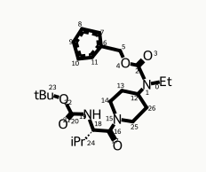 CCN(C(=O)OCc1ccccc1)C1CCN(C(=O)[C@@H](NC(=O)OC(C)(C)C)C(C)C)CC1